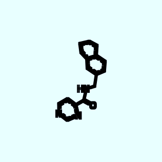 O=C(NCc1ccc2ccccc2c1)c1ccncn1